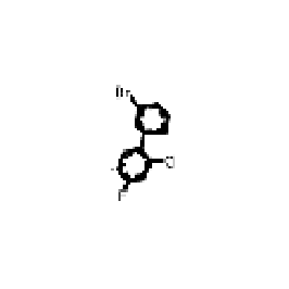 Fc1[c]cc(-c2cccc(Br)c2)c(Cl)c1